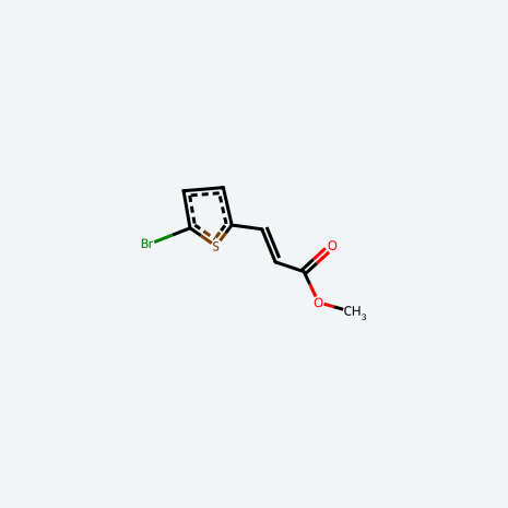 COC(=O)C=Cc1ccc(Br)s1